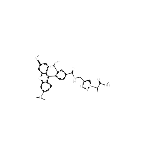 C/N=c1\ccc2c(-c3ccc(C(=O)NCc4cn(C(C)C(=O)NC)nn4)cc3C(=O)O)c3ccc(N(C)C)cc3oc-2c1